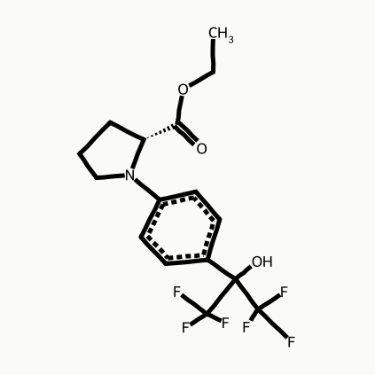 CCOC(=O)[C@H]1CCCN1c1ccc(C(O)(C(F)(F)F)C(F)(F)F)cc1